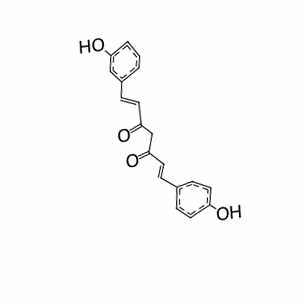 O=C(C=Cc1ccc(O)cc1)CC(=O)C=Cc1cccc(O)c1